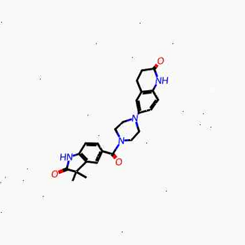 CC1(C)C(=O)Nc2ccc(C(=O)N3CCN(c4ccc5c(c4)CCC(=O)N5)CC3)cc21